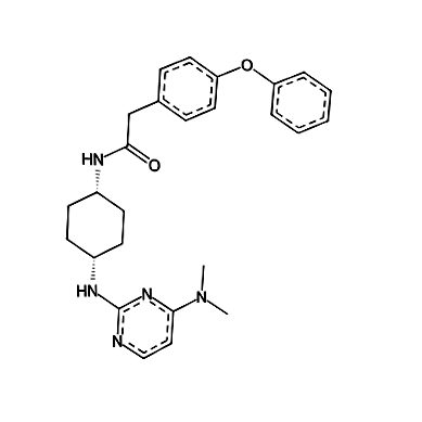 CN(C)c1ccnc(N[C@H]2CC[C@@H](NC(=O)Cc3ccc(Oc4ccccc4)cc3)CC2)n1